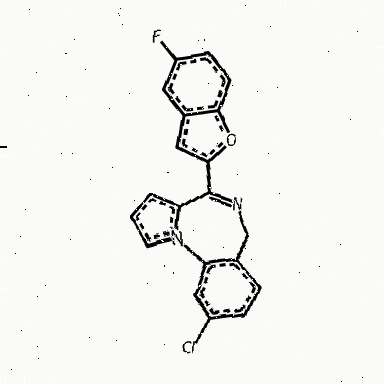 Fc1ccc2oc(C3=NCc4ccc(Cl)cc4-n4cccc43)cc2c1